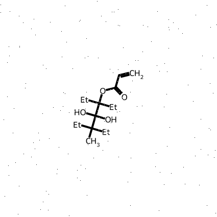 C=CC(=O)OC(CC)(CC)C(O)(O)C(C)(CC)CC